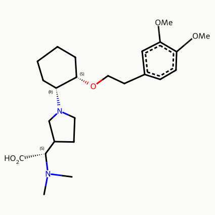 COc1ccc(CCO[C@H]2CCCC[C@H]2N2CCC([C@@H](C(=O)O)N(C)C)C2)cc1OC